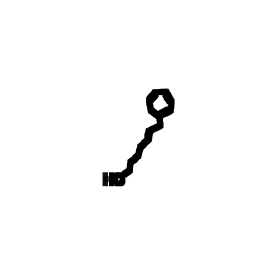 OCCCCC=CCC1=CC=CC=CC1